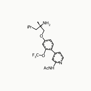 CC(=O)Nc1cc(-c2ccc(OC[C@@](C)(N)CC(C)C)cc2OC(F)(F)F)ccn1